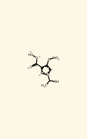 CC(S)n1cc(S[N+](=O)[O-])c(C(=O)OO)n1